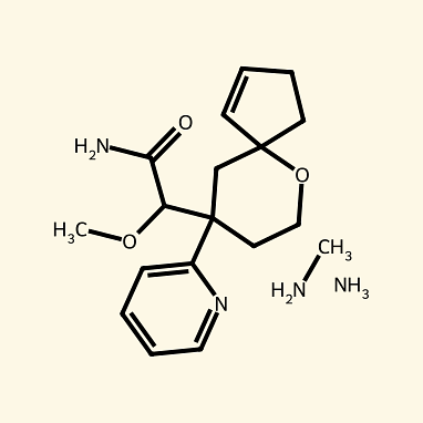 CN.COC(C(N)=O)C1(c2ccccn2)CCOC2(C=CCC2)C1.N